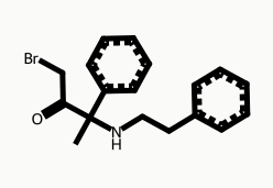 CC(NCCc1ccccc1)(C(=O)CBr)c1ccccc1